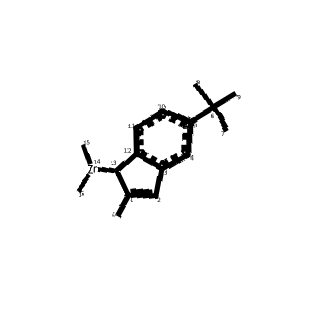 CC1=Cc2cc(C(C)(C)C)ccc2[CH]1[Zr]([CH3])[CH3]